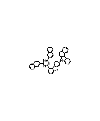 c1ccc2cc(-c3nc(-c4ccc5ccccc5c4)nc(-c4cccc5oc6cc(-n7c8ccccc8c8c9ccccc9ccc87)ccc6c45)n3)ccc2c1